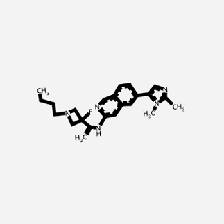 C=C(Nc1cc2cc(-c3cnc(C)n3C)ccc2cn1)C1(F)CN(CCCC)C1